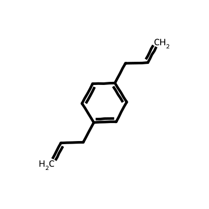 C=CCc1ccc(CC=C)cc1